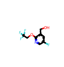 OCc1cc(F)cnc1OCC(F)(F)F